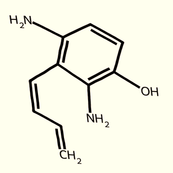 C=C/C=C\c1c(N)ccc(O)c1N